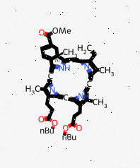 C=CC1=C(C)c2cc3[nH]c(cc4nc(cc5[nH]c(cc1n2)[C@@]1(C)CC(C(=O)OC)=CC=C51)C(C)=C4CCC(=O)OCCCC)c(CCC(=O)OCCCC)c3C